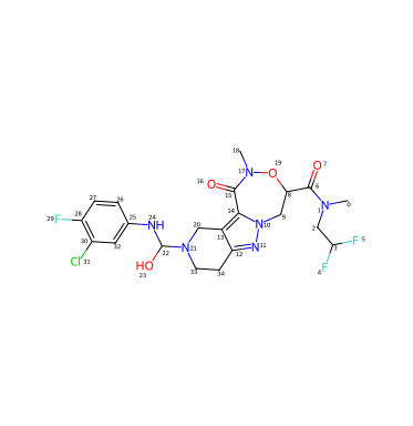 CN(CC(F)F)C(=O)C1Cn2nc3c(c2C(=O)N(C)O1)CN(C(O)Nc1ccc(F)c(Cl)c1)CC3